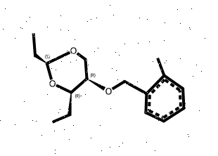 CC[C@H]1OC[C@@H](OCc2ccccc2C)[C@@H](CC)O1